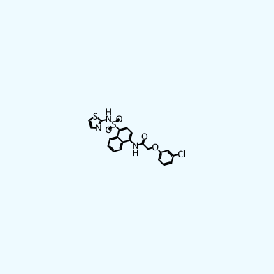 O=C(COc1cccc(Cl)c1)Nc1ccc(S(=O)(=O)Nc2nccs2)c2ccccc12